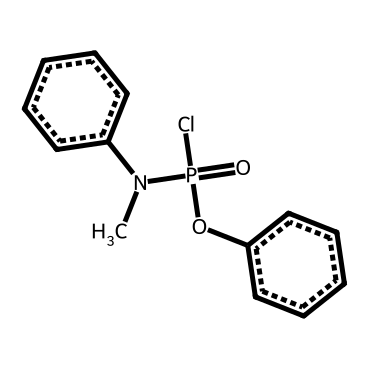 CN(c1ccccc1)P(=O)(Cl)Oc1ccccc1